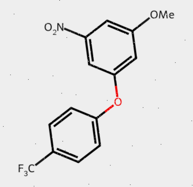 COc1cc(Oc2ccc(C(F)(F)F)cc2)cc([N+](=O)[O-])c1